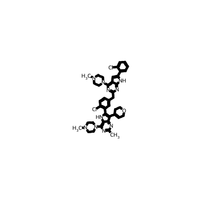 Cc1nc(N2CCN(C)CC2)c2[nH]c(-c3cc(Cc4nc(N5CCN(C)CC5)c5cc(-c6ccccc6Cl)[nH]c5n4)ccc3Cl)c(C3=CCOCC3)c2n1